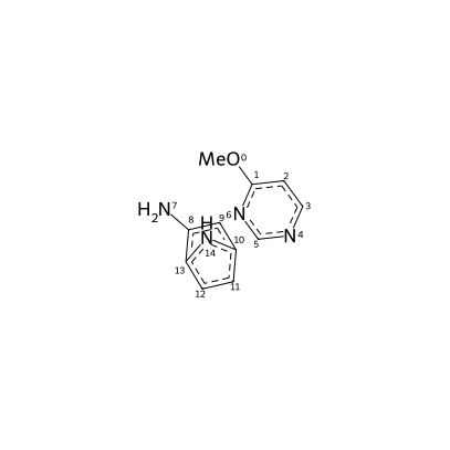 COc1ccncn1.Nc1cc2ccc1[nH]2